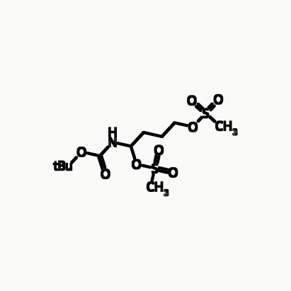 CC(C)(C)OC(=O)NC(CCCOS(C)(=O)=O)OS(C)(=O)=O